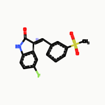 CS(=O)(=O)c1cccc(/C=C2/C(=O)Nc3ccc(F)cc32)c1